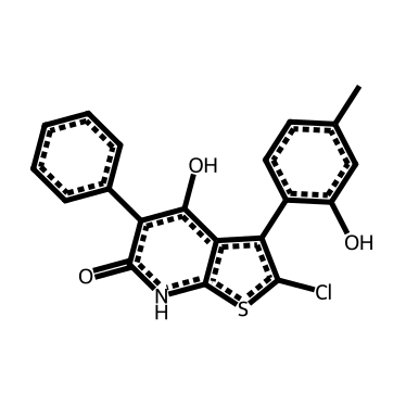 Cc1ccc(-c2c(Cl)sc3[nH]c(=O)c(-c4ccccc4)c(O)c23)c(O)c1